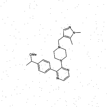 COC(C)c1ccc(-c2nccnc2N2CCN(Cc3cnn(C)c3C)CC2)cc1